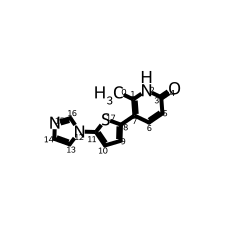 Cc1[nH]c(=O)ccc1-c1ccc(-n2ccnc2)s1